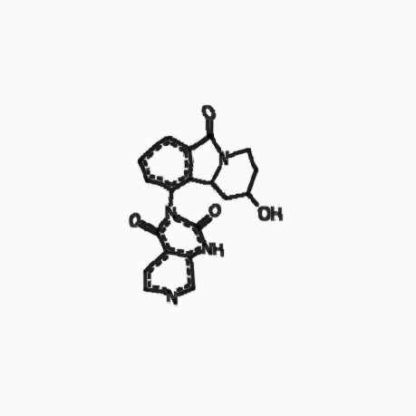 O=C1c2cccc(-n3c(=O)[nH]c4cnccc4c3=O)c2C2CC(O)CCN12